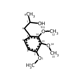 COc1ccc(CC(C)O)c(OC)c1OC